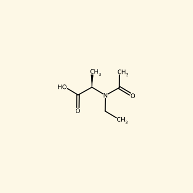 CCN(C(C)=O)[C@H](C)C(=O)O